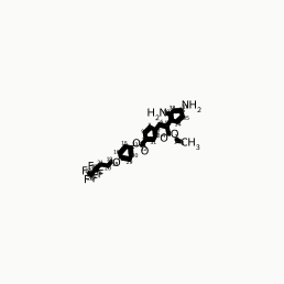 CCOC(=O)C(=Cc1ccc(C(=O)Oc2ccc(OCCCC(F)(F)C(F)(F)F)cc2)cc1)c1ccc(N)cc1N